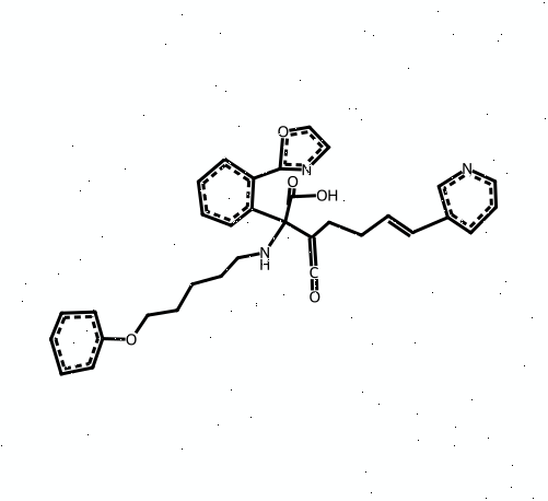 O=C=C(CCC=Cc1cccnc1)C(NCCCCCOc1ccccc1)(C(=O)O)c1ccccc1-c1ncco1